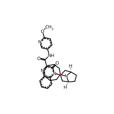 COc1ccc(NC(=O)c2nc3ccccc3n([C@H]3C[C@H]4CC[C@@H](C3)N4C3CCCCCCC3)c2=O)cn1